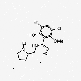 CCc1cc(Cl)c(OC)c(C(=O)NCC2CCCN2CC)c1O.Cl